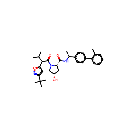 Cc1ccccc1-c1ccc([C@H](C)NC(=O)[C@@H]2C[C@@H](O)CN2C(=O)[C@@H](c2cc(C(C)(C)C)no2)C(C)C)cc1